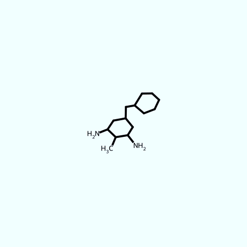 CC1C(N)CC(CC2CCCCC2)CC1N